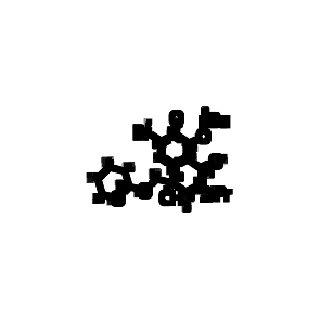 CCCCOc1c2n(cc(Br)c1=O)C(C)(COC1CCCCO1)CN(C(C)C)C2=O